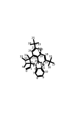 C=CC1(CC)[n+]2c3ccccc3n3c(C(C)(C)C)cc4nc(C(C)(C)C)cc(c4c32)C1(C)CC